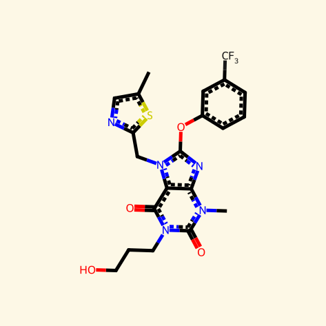 Cc1cnc(Cn2c(Oc3cccc(C(F)(F)F)c3)nc3c2c(=O)n(CCCO)c(=O)n3C)s1